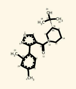 Cc1ccc(-c2nocc2C(=O)N2CCC[C@@H](C(C)(C)O)C2)c(C)c1